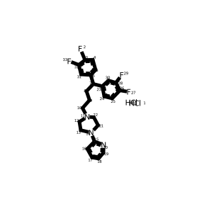 Cl.Cl.Fc1ccc(C(CCCN2CCN(c3ccccn3)CC2)c2ccc(F)c(F)c2)cc1F